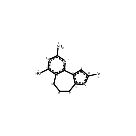 Nc1nc(O)c2c(n1)-c1cc(Br)sc1CCC2